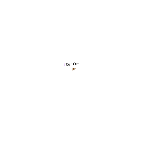 [Br-].[Cu+].[Cu+].[I-]